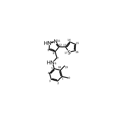 Cc1cccc(NCc2c[nH]nc2-c2cccs2)c1C